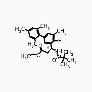 CCOC(=O)C[C@H](N[S+]([O-])C(C)(C)C)c1cc(-c2c(C)cc(C)cc2C)cc(C)c1F